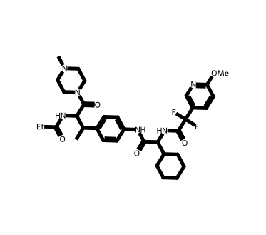 CCC(=O)NC(C(=O)N1CCN(C)CC1)C(C)c1ccc(NC(=O)C(NC(=O)C(F)(F)c2ccc(OC)nc2)C2CCCCC2)cc1